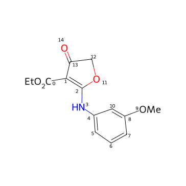 CCOC(=O)C1=C(Nc2cccc(OC)c2)OCC1=O